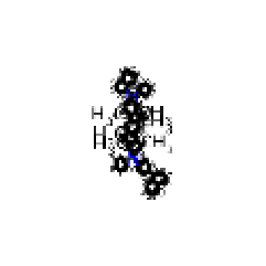 Cc1cc(N(c2ccccc2)c2ccc(-c3cccc4ccccc34)cc2)cc2c1-c1cc3c(cc1C2(C)C)-c1c(C)cc(N(c2ccccc2)c2cccc4ccccc24)cc1C3(C)C